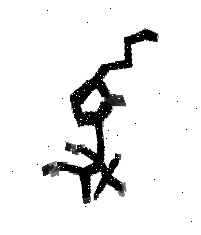 CCCCc1cnc(CC(N)(C(N)=O)C(F)(F)F)[nH]1